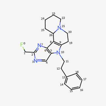 FCc1ncc2c(n1)c1c(n2CCc2ccccc2)CCN2CCCCC12